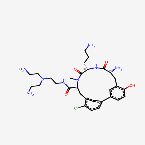 CN1C(=O)[C@H](CCCN)NC(=O)[C@@H](N)Cc2cc(ccc2O)-c2ccc(Cl)c(c2)C[C@H]1C(=O)NCCN(CCN)CCN